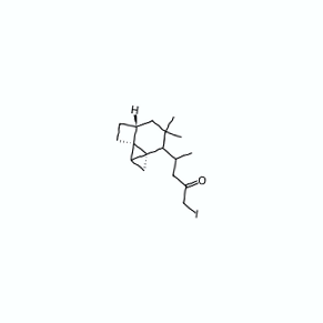 CC(CC(=O)CI)C1C(C)(C)C[C@H]2CC[C@]23C2C[C@]123